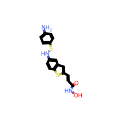 Nc1ccc(SNc2ccc3sc(/C=C/C(=O)NO)cc3c2)cc1